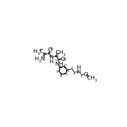 COCNCCc1cccc(NC(=O)[C@H](C)NC(=O)[C@H](C)N)c1